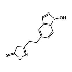 On1ncc2cc(CCC3=NOC(=S)C3)ccc21